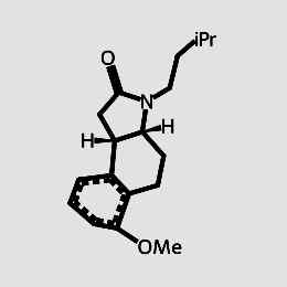 COc1cccc2c1CC[C@@H]1[C@H]2CC(=O)N1CCC(C)C